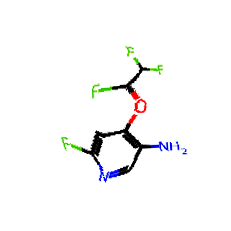 Nc1cnc(F)cc1OC(F)C(F)F